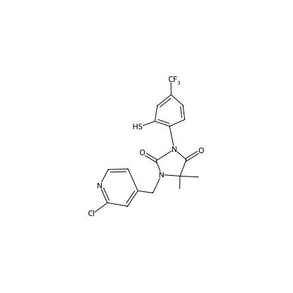 CC1(C)C(=O)N(c2ccc(C(F)(F)F)cc2S)C(=O)N1Cc1ccnc(Cl)c1